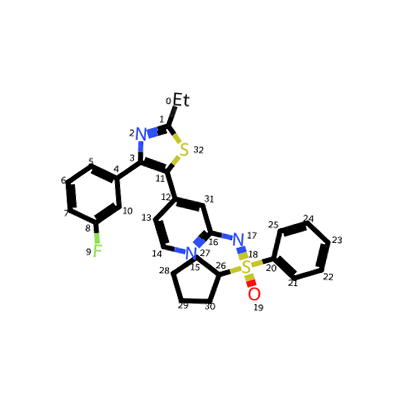 CCc1nc(-c2cccc(F)c2)c(-c2ccnc(N=S(=O)(c3ccccc3)C3CCCC3)c2)s1